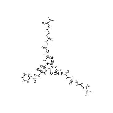 C=C(C)C(=O)OCCCC(=O)CCC(=O)OCC(O)Cn1c(=O)n(CC(O)COC(=O)CCC(=O)OCCOC(=O)C(=C)C)c(=O)n(CC(O)COC(=O)c2ccccc2)c1=O